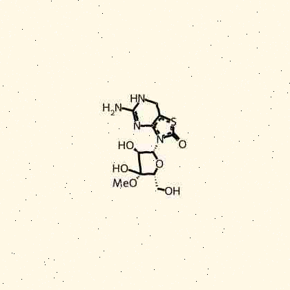 CO[C@@]1(O)[C@@H](CO)O[C@@H](n2c3c(sc2=O)CNC(N)=N3)[C@@H]1O